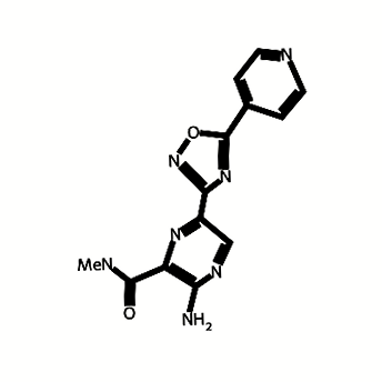 CNC(=O)c1nc(-c2noc(-c3ccncc3)n2)cnc1N